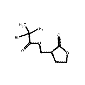 CCC(C)(C)C(=O)OCC1CCOC1=O